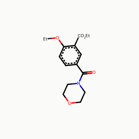 CCOC(=O)c1cc(C(=O)N2CCOCC2)ccc1OCC